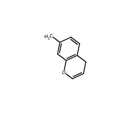 [CH2]c1ccc2c(c1)OC=CC2